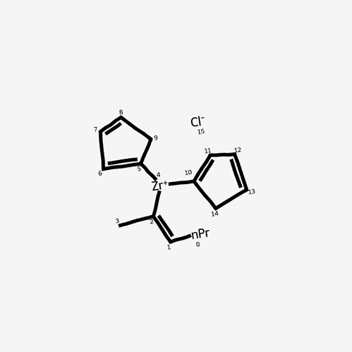 CCC/C=[C](/C)[Zr+]([C]1=CC=CC1)[C]1=CC=CC1.[Cl-]